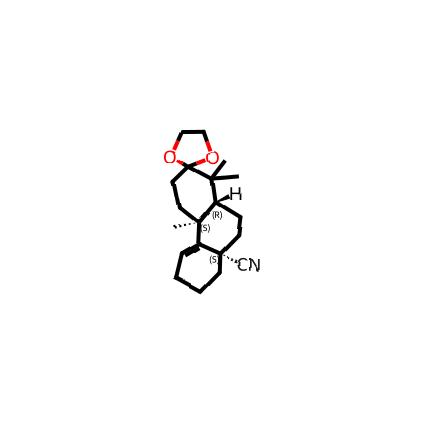 CC1(C)[C@@H]2CC[C@@]3(C#N)CCCC=C3[C@@]2(C)CCC12OCCO2